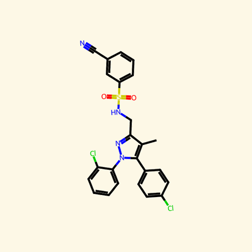 Cc1c(CNS(=O)(=O)c2cccc(C#N)c2)nn(-c2ccccc2Cl)c1-c1ccc(Cl)cc1